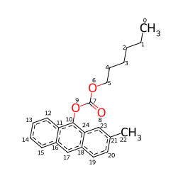 CCCCCCOC(=O)Oc1c2ccccc2cc2ccc(C)cc12